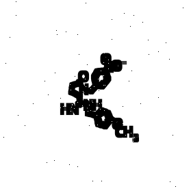 COc1ccc(CNC(=N)C2CCC(=O)N2Cc2ccc([N+](=O)[O-])cc2)cc1